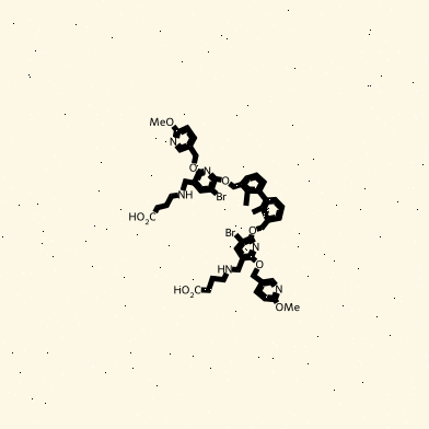 COc1ccc(COc2nc(OCc3cccc(-c4cccc(COc5nc(OCc6ccc(OC)nc6)c(CNCCCC(=O)O)cc5Br)c4C)c3C)c(Br)cc2CNCCCC(=O)O)cn1